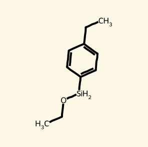 CCO[SiH2]c1ccc(CC)cc1